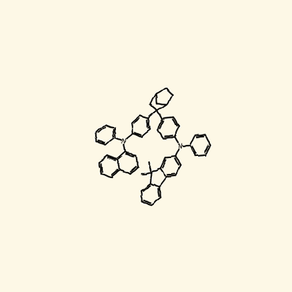 CC1(C)c2ccccc2-c2ccc(N(c3ccccc3)c3ccc(C4(c5ccc(N(c6ccccc6)c6cccc7ccccc67)cc5)CC5CCC4C5)cc3)cc21